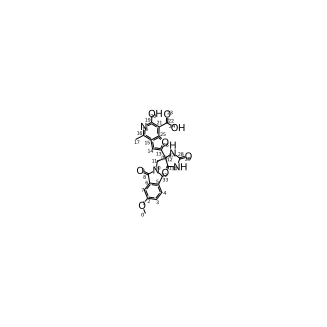 COc1ccc2c(c1)C(=O)N(C[C@@]1(c3cc4c(C)nc(O)c(C(=O)O)c4o3)NC(=O)NC1=O)C2